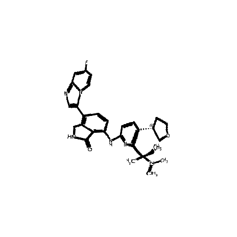 CN(C)C(C)(C)c1nc(Nc2ccc(-c3cnc4cc(F)ccn34)c3c2C(=O)NC3)ccc1[C@@H]1CCOC1